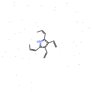 C=Cc1c(/C=C\C)[nH]c(/C=C\C)c1C=C